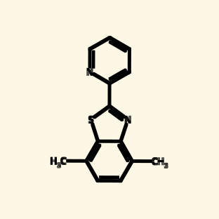 Cc1ccc(C)c2sc(-c3ccccn3)nc12